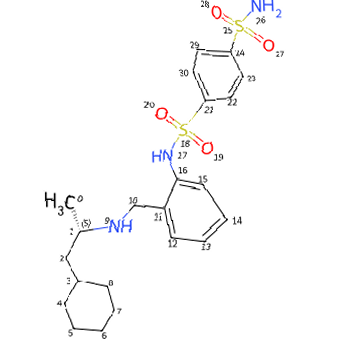 C[C@@H](CC1CCCCC1)NCc1ccccc1NS(=O)(=O)c1ccc(S(N)(=O)=O)cc1